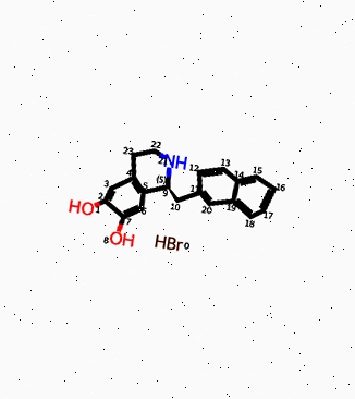 Br.Oc1cc2c(cc1O)[C@H](Cc1ccc3ccccc3c1)NCC2